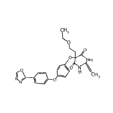 C=C1NC(=O)C(CCOCC)(Oc2ccc(Oc3ccc(-c4nnco4)cc3)cc2)C(=O)N1